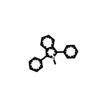 Cn1c(-c2ccccc2)c2ccccc2c1-c1ccccc1